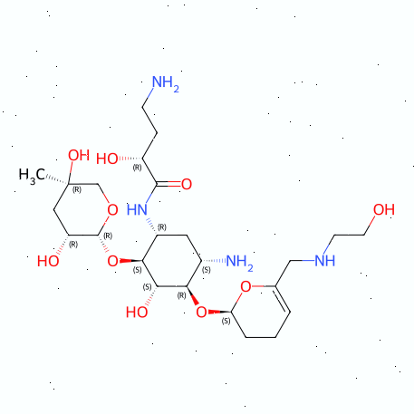 C[C@]1(O)CO[C@H](O[C@@H]2[C@@H](O)[C@H](O[C@@H]3CCC=C(CNCCO)O3)[C@@H](N)C[C@H]2NC(=O)[C@H](O)CCN)[C@H](O)C1